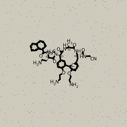 C[C@@H]1NC(=O)[C@@H](N(C)C(=O)[C@H](CCN)NC(=O)c2cccc3ccccc23)c2ccc(OCCN)c(c2)-c2cc(ccc2OCCN)C[C@@H](C(=O)NCC#N)NC1=O